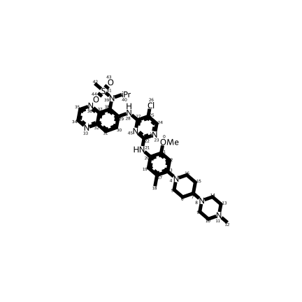 COc1cc(N2CCC(N3CCN(C)CC3)CC2)c(C)cc1Nc1ncc(Cl)c(Nc2ccc3nccnc3c2N(C(C)C)S(C)(=O)=O)n1